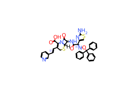 Nc1nc(/C(=N\OC(c2ccccc2)(c2ccccc2)c2ccccc2)C(=O)N[C@@H]2C(=O)N3C(C(=O)O)=C(/C=C/c4cccnc4)CS[C@H]23)cs1